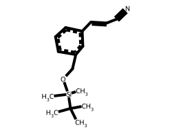 CC(C)(C)[Si](C)(C)OCc1cccc(/C=C/C#N)c1